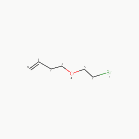 C=CCCOCCBr